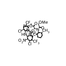 COCC(=O)N(c1c(C)cccc1C)C(C)C(=O)OC.O=[N+]([O-])c1cc(C(F)(F)F)c(Cl)c([N+](=O)[O-])c1Nc1ncc(C(F)(F)F)cc1Cl